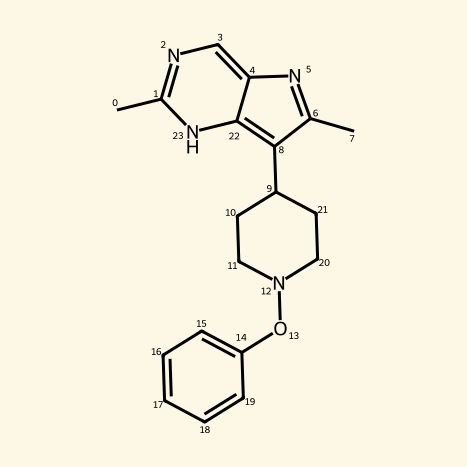 Cc1ncc2nc(C)c(C3CCN(Oc4ccccc4)CC3)c-2[nH]1